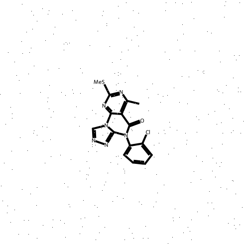 CSc1nc(C)c2c(=O)n(-c3ccccc3Cl)c3nncn3c2n1